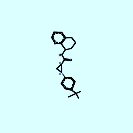 CC(C)(C)c1ccc([C@@H]2C[C@H]2C(=O)NC2CCCc3cccnc32)cc1